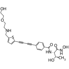 C[C@@H](O)[C@H](NC(=O)c1ccc(C#CC#Cc2ccc(CNCCOCCO)s2)cc1)C(=O)NO